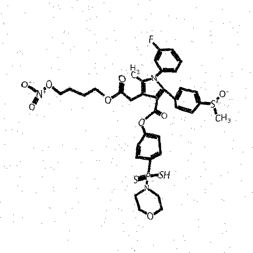 Cc1c(CC(=O)OCCCCO[N+](=O)[O-])c(C(=O)Oc2ccc(P(=S)(S)N3CCOCC3)cc2)c(-c2ccc([S+](C)[O-])cc2)n1-c1cccc(F)c1